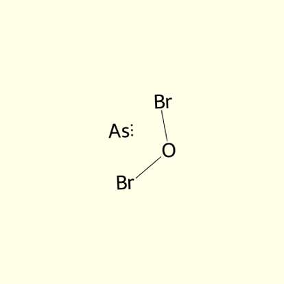 BrOBr.[As]